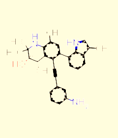 Cc1cc(-c2cccc3c(C)c[nH]c23)c(C#Cc2cccc(N)c2)c2c1NC(C)(C)[C@H](O)[C@H]2C